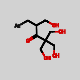 CC(=O)CC(CO)C(=O)C(CO)(CO)CO